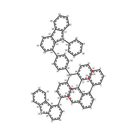 c1ccc(-c2cccc3cccc(-c4ccccc4N(c4ccc(-c5cccc6sc7ccccc7c56)cc4)c4ccc(-c5cccc6c7ccccc7n(-c7ccccc7)c56)cc4)c23)cc1